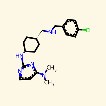 CN(C)c1ccnc(N[C@H]2CC[C@@H](CNCc3ccc(Cl)cc3)CC2)n1